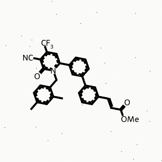 COC(=O)/C=C/c1cccc(-c2cccc(-c3cc(C(F)(F)F)c(C#N)c(=O)n3Cc3ccc(C)cc3C)c2)c1